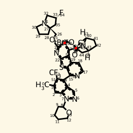 Cc1cc2c(cnn2C2CCCCO2)c(-c2nccc3c2sc2nc(OC[C@@]45CCCN4C[C@H](F)C5)nc(N4C[C@H]5CC[C@@H](C4)N5C(=O)OC(C)(C)C)c23)c1C(F)(F)F